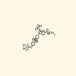 COC(=O)c1ccc2c(C3CCN(S(=O)(=O)c4ccc(OC(C)C)cc4)CC3)cn(CC(=O)O)c2n1